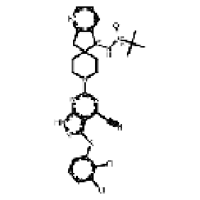 CC(C)(C)[S@@+]([O-])N[C@@H]1c2cccnc2CC12CCN(c1nc(C#N)c3c(Sc4cccc(Cl)c4Cl)n[nH]c3n1)CC2